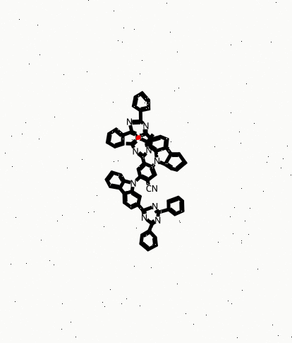 Cc1nc(C)nc(-c2cc(-n3c4ccccc4c4ccc(-c5nc(-c6ccccc6)nc(-c6ccccc6)n5)cc43)c(C#N)cc2-n2c3ccccc3c3ccc(-c4nc(-c5ccccc5)nc(-c5ccccc5)n4)cc32)n1